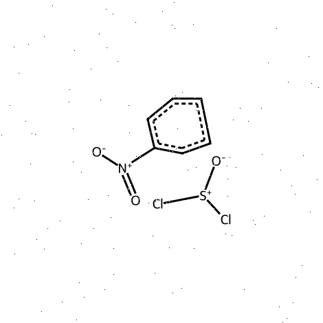 O=[N+]([O-])c1ccccc1.[O-][S+](Cl)Cl